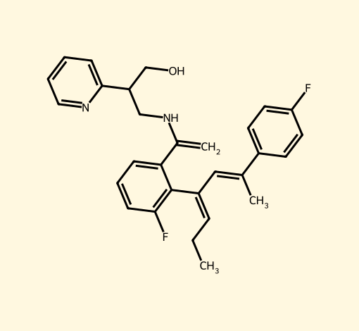 C=C(NCC(CO)c1ccccn1)c1cccc(F)c1C(=C\CC)/C=C(\C)c1ccc(F)cc1